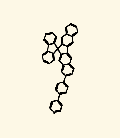 c1ccc2c(c1)-c1ccccc1C21c2cc3ccccc3cc2-c2cc3ccc(-c4ccc(-c5ccncc5)cc4)cc3cc21